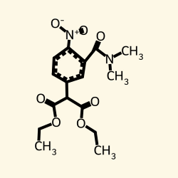 CCOC(=O)C(C(=O)OCC)c1ccc([N+](=O)[O-])c(C(=O)N(C)C)c1